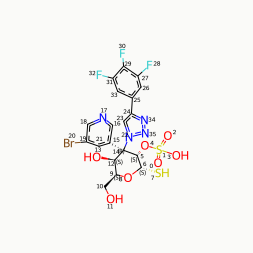 O=S(=O)(O)O[C@@H]1[C@H](S)O[C@@H](CO)[C@@H](O)[C@@]1(c1cncc(Br)c1)n1cc(-c2cc(F)c(F)c(F)c2)nn1